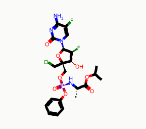 CC(C)OC(=O)[C@H](C)N[P@@](=O)(OC[C@@]1(CCl)O[C@@H](n2cc(F)c(N)nc2=O)[C@@H](F)[C@@H]1O)Oc1ccccc1